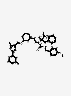 COc1ccc(COC(=O)N(CCC2CCCC(OCc3nc(-c4cccc(C)c4)oc3C)C2)C(C)(Cc2ccccc2)C(=O)O)cc1